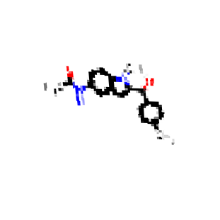 CC(=O)Nc1ccc2c(c1)cc(C(=O)c1ccc(C)cc1)n2C